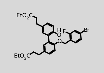 CCOC(=O)CCc1ccc(O)c(-c2cc(CCC(=O)OCC)ccc2OCc2ccc(Br)cc2F)c1